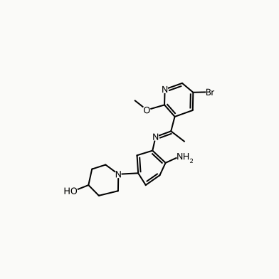 COc1ncc(Br)cc1/C(C)=N/c1cc(N2CCC(O)CC2)ccc1N